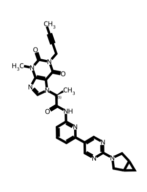 CC#CCn1c(=O)c2c(ncn2[C@@H](C)C(=O)Nc2cccc(-c3cnc(N4CC5CC5C4)nc3)n2)n(C)c1=O